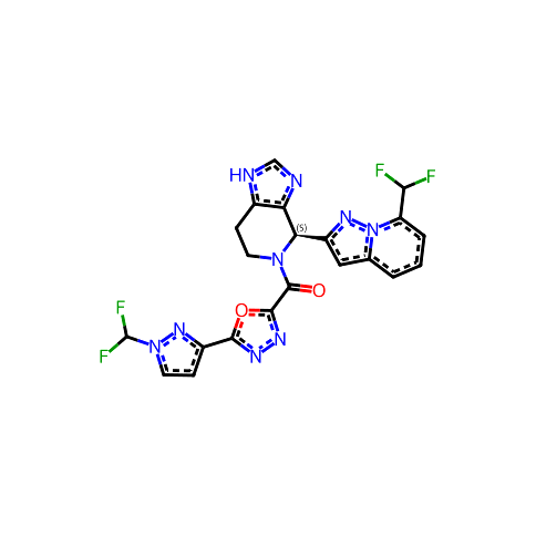 O=C(c1nnc(-c2ccn(C(F)F)n2)o1)N1CCc2[nH]cnc2[C@H]1c1cc2cccc(C(F)F)n2n1